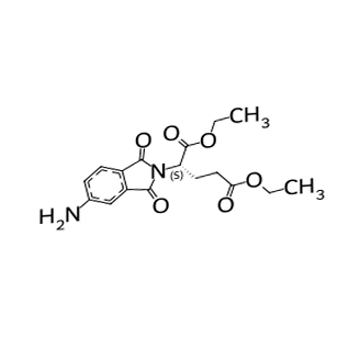 CCOC(=O)CC[C@@H](C(=O)OCC)N1C(=O)c2ccc(N)cc2C1=O